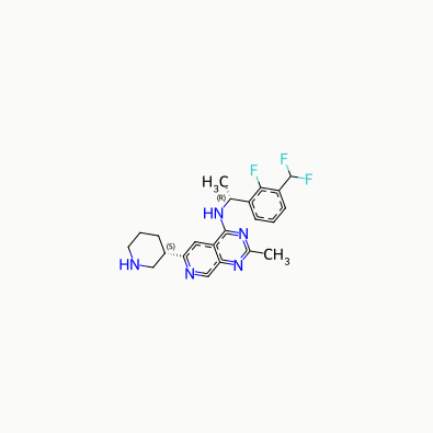 Cc1nc(N[C@H](C)c2cccc(C(F)F)c2F)c2cc([C@H]3CCCNC3)ncc2n1